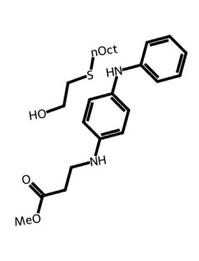 CCCCCCCCSCCO.COC(=O)CCNc1ccc(Nc2ccccc2)cc1